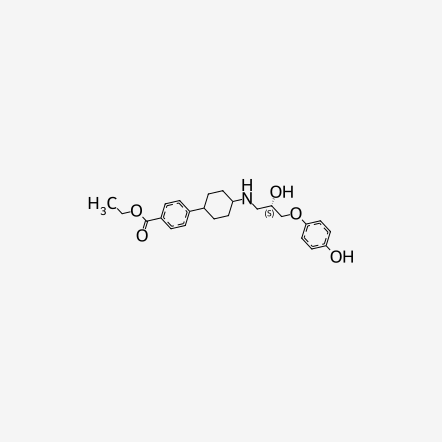 CCOC(=O)c1ccc(C2CCC(NC[C@H](O)COc3ccc(O)cc3)CC2)cc1